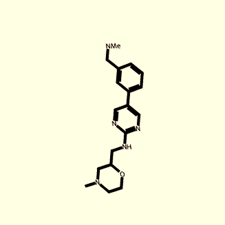 CNCc1cccc(-c2cnc(NCC3CN(C)CCO3)nc2)c1